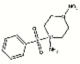 N[N+]1(S(=O)(=O)c2ccccc2)CCN([N+](=O)[O-])CC1